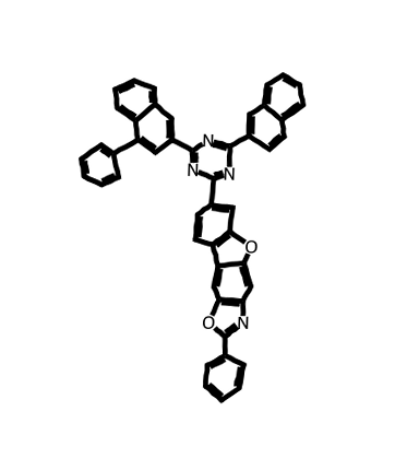 c1ccc(-c2nc3cc4oc5cc(-c6nc(-c7ccc8ccccc8c7)nc(-c7cc(-c8ccccc8)c8ccccc8c7)n6)ccc5c4cc3o2)cc1